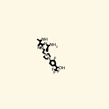 C#C/C(N)=N\c1c(C(C)=N)cnn1CCN1CCN(c2ccc(C(O)C(F)(F)F)cc2F)CC1